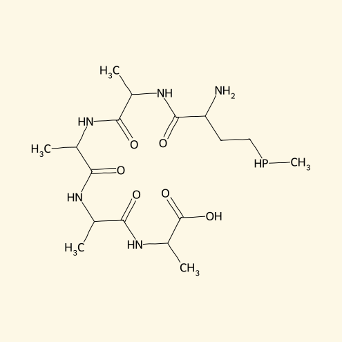 CPCCC(N)C(=O)NC(C)C(=O)NC(C)C(=O)NC(C)C(=O)NC(C)C(=O)O